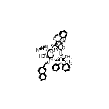 CC(C)(C)[Si](OC[C@H]1O[C@@H](O[C@@H]2[C@@H](OCc3ccccc3)[C@H](O)[C@@H]3OC[C@H]2O3)[C@@H](N=[N+]=[N-])[C@@H](O)[C@@H]1OCc1ccc2ccccc2c1)(c1ccccc1)c1ccccc1